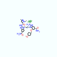 Br.Br.CCn1nc(C)cc1C(=O)Nc1nc2cc(C(N)=O)ccc2n1C/C=C/Cn1c(N)nc2cc(C(N)=O)cc(OCc3ccc(OC)cc3)c21